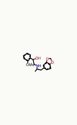 COc1ccccc1C(O)CNC(C)Cc1ccc2c(c1)OCO2